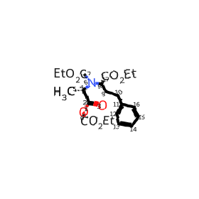 CCOC(=O)OC(=O)[C@H](C)N(C(=O)OCC)C(CCc1ccccc1)C(=O)OCC